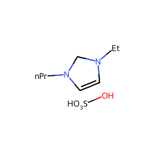 CCCN1C=CN(CC)C1.O=S(=O)(O)O